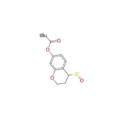 CC(C)(C)C(=O)Oc1ccc2c(c1)OCCC2[S+]=O